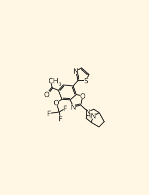 CC(=O)c1cc(-c2nccs2)c2oc(N3CC4CCC(C3)N4)nc2c1OC(F)(F)F